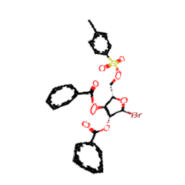 Cc1ccc(S(=O)(=O)OC[C@@H]2O[C@@H](Br)[C@H](OC(=O)c3ccccc3)[C@H]2OC(=O)c2ccccc2)cc1